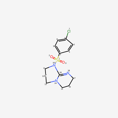 O=S(=O)(c1ccc(Cl)cc1)N1CCCN2CCCN=C21